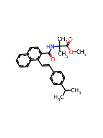 COC(=O)C(C)(C)NC(=O)c1ccc2ccccc2c1C=Cc1ccc(C(C)C)cc1